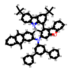 Cc1c2ccccc2c(C)c2cc3c(cc12)B1c2c(cc4oc5ccccc5c4c2-c2cc(C(C)(C)C)cc4c5cc(C(C)(C)C)ccc5n1c24)N3c1cc(-c2ccccc2)cc(-c2ccccc2)c1